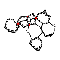 c1ccc(-c2cccc3c2Sc2ccccc2C32c3ccccc3Sc3cccc(-c4ccccc4)c32)cc1